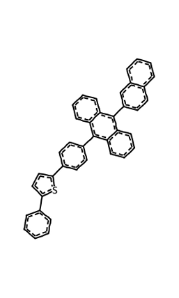 c1ccc(-c2ccc(-c3ccc(-c4c5ccccc5c(-c5ccc6ccccc6c5)c5ccccc45)cc3)s2)cc1